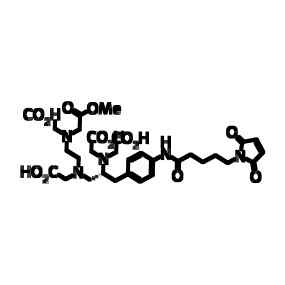 COC(=O)CN(CCN(CC(=O)O)C[C@@H](Cc1ccc(NC(=O)CCCCN2C(=O)C=CC2=O)cc1)N(CC(=O)O)CC(=O)O)CC(=O)O